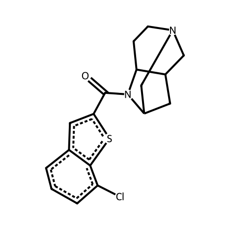 O=C(c1cc2cccc(Cl)c2s1)N1C2CC3CN(CCC31)C2